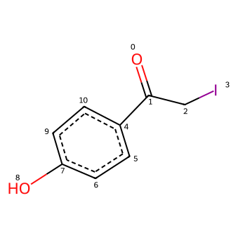 O=C(CI)c1ccc(O)cc1